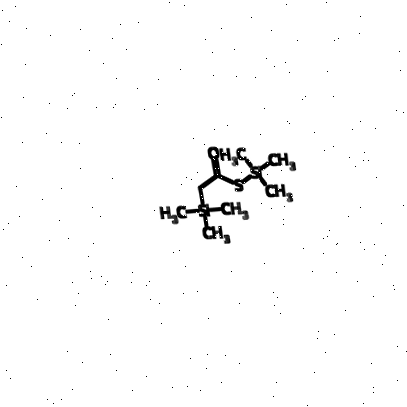 C[Si](C)(C)CC(=O)S[Si](C)(C)C